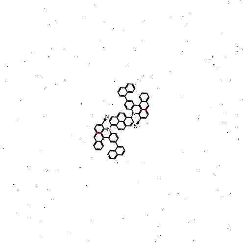 N#Cc1ccccc1N(C1=C2C=CC3=C4C(=CC=C(C=C1)C24)C(N(c1ccccc1C#N)c1ccc(-c2cccc4ccccc24)cc1-c1cccc2ccccc12)C=C3)c1ccc(-c2cccc3ccccc23)cc1-c1cccc2ccccc12